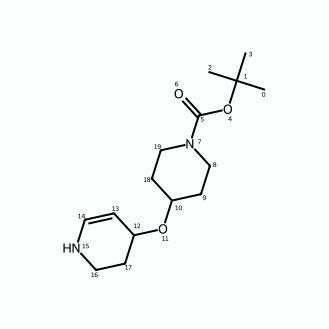 CC(C)(C)OC(=O)N1CCC(OC2C=CNCC2)CC1